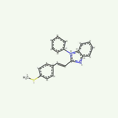 CSc1ccc(C=Cc2nc3ccccc3n2-c2ccccc2)cc1